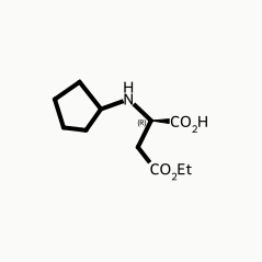 CCOC(=O)C[C@@H](NC1CCCC1)C(=O)O